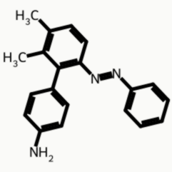 Cc1ccc(N=Nc2ccccc2)c(-c2ccc(N)cc2)c1C